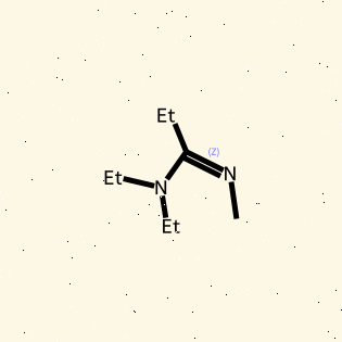 CC/C(=N/C)N(CC)CC